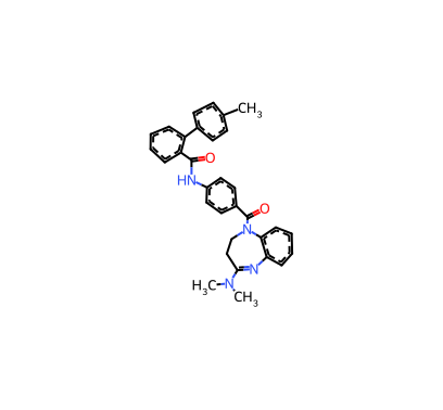 Cc1ccc(-c2ccccc2C(=O)Nc2ccc(C(=O)N3CCC(N(C)C)=Nc4ccccc43)cc2)cc1